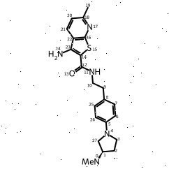 CN[C@@H]1CCN(c2ccc(CCNC(=O)c3sc4nc(C)ccc4c3N)cc2)C1